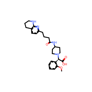 COc1ccccc1[C@H](C(=O)O)N1CCC(NC(=O)CCCc2ccc3c(n2)NCCC3)CC1